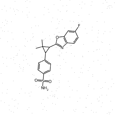 CC1(C)C(c2ccc(S(N)(=O)=O)cc2)C1c1nc2ccc(F)cc2o1